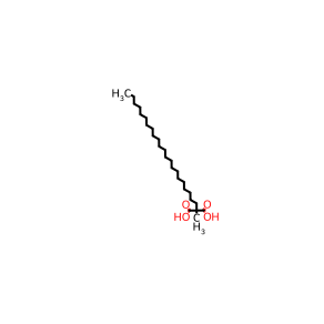 CCCCCCCCCCCCCCCCCCCCCCC(C)(C(=O)O)C(=O)O